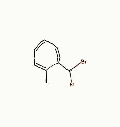 [CH2]c1ccccc1[C](Br)Br